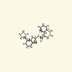 CN(Cc1cn2c(N3CCCC3)cccc2n1)[C@H]1CCCc2cccnc21